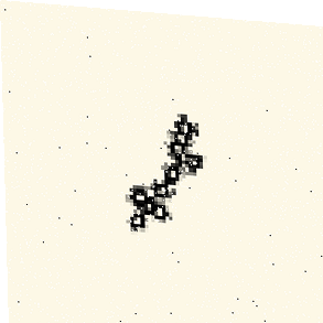 c1ccc(-c2c3ccccc3c(-c3ccc(-c4ccc(-n5c6ccccc6c6c7cc8ccccc8cc7ccc65)cc4)cc3)c3ccccc23)cc1